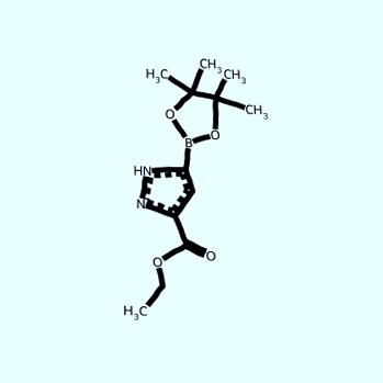 CCOC(=O)c1cc(B2OC(C)(C)C(C)(C)O2)[nH]n1